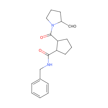 O=CC1CCCN1C(=O)C1CCCC1C(=O)NCc1ccccc1